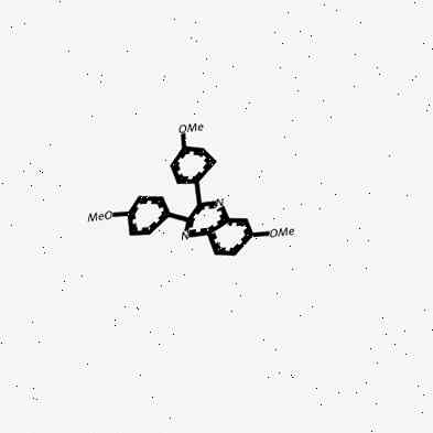 COc1ccc(-c2nc3ccc(OC)cc3nc2-c2ccc(OC)cc2)cc1